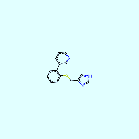 c1cncc(-c2ccccc2SCc2c[nH]cn2)c1